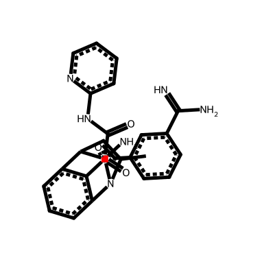 CC1=CC2c3cccc(c3S(N)(=O)=O)N1[N+]2(C(=O)Nc1ccccn1)c1cccc(C(=N)N)c1